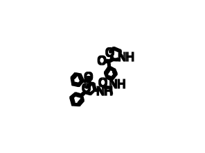 C[C@H](Nc1ccc(C(=O)C2CNCCO2)cc1)C(=O)N[C@@H](CCc1ccccc1)CS(=O)(=O)c1ccccc1